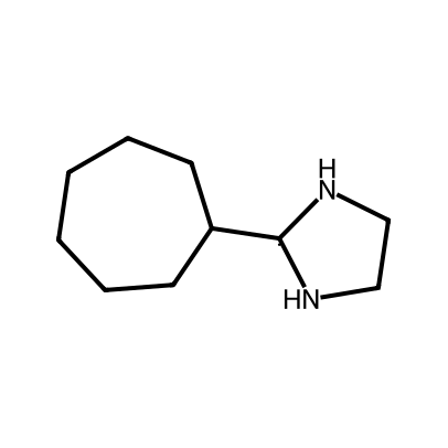 C1CCCC([C]2NCCN2)CC1